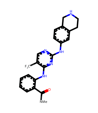 CNC(=O)c1ccccc1Nc1nc(Nc2ccc3c(c2)CCNC3)ncc1C(F)(F)F